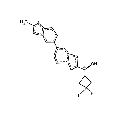 Cc1cn2cc(-c3ccc4cc([C@@H](O)C5CC(F)(F)C5)sc4n3)ccc2n1